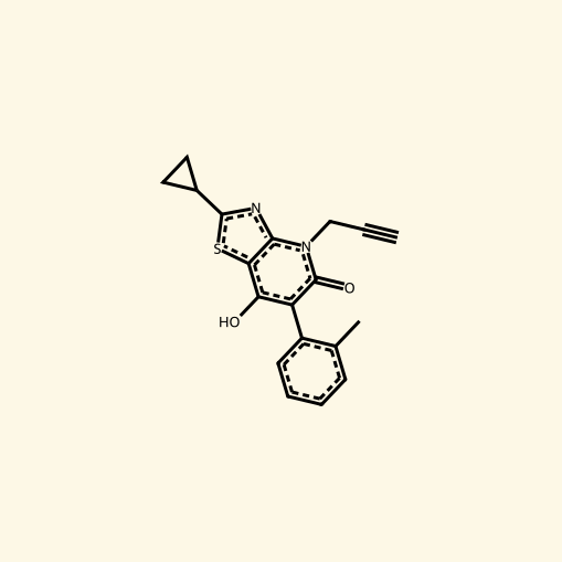 C#CCn1c(=O)c(-c2ccccc2C)c(O)c2sc(C3CC3)nc21